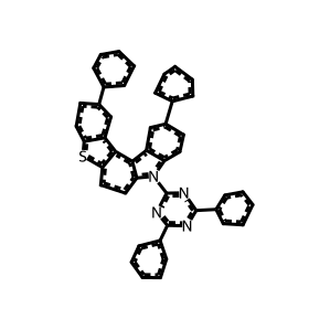 c1ccc(-c2ccc3sc4ccc5c(c6cc(-c7ccccc7)ccc6n5-c5nc(-c6ccccc6)nc(-c6ccccc6)n5)c4c3c2)cc1